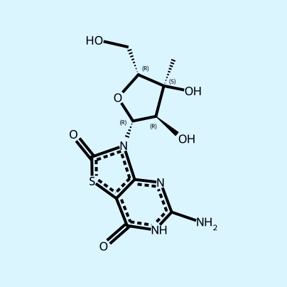 C[C@@]1(O)[C@@H](CO)O[C@@H](n2c(=O)sc3c(=O)[nH]c(N)nc32)[C@@H]1O